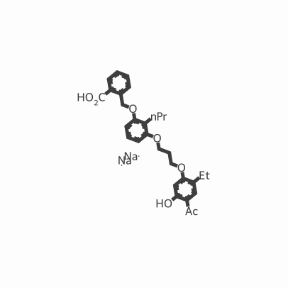 CCCc1c(OCCCOc2cc(O)c(C(C)=O)cc2CC)cccc1OCc1ccccc1C(=O)O.[Na].[Na]